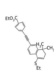 CCOC(=O)c1ccc(C#Cc2ccc3c(c2)C(C)(C)CC=C3SCC)cc1